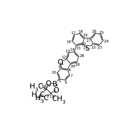 CC1(C)OB(c2ccc3c(c2)oc2cc(-c4cccc5c4sc4ccccc45)ccc23)OC1(C)C